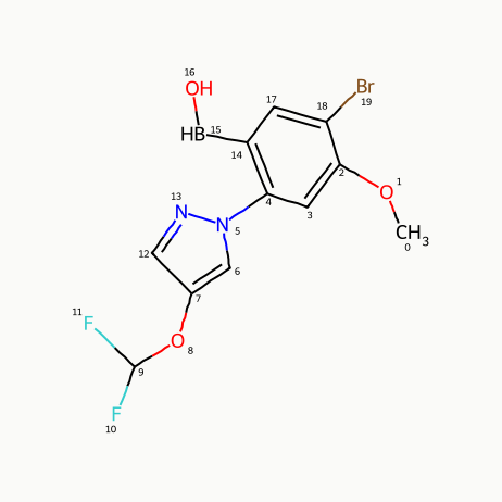 COc1cc(-n2cc(OC(F)F)cn2)c(BO)cc1Br